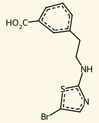 O=C(O)c1cccc(CCNc2ncc(Br)s2)c1